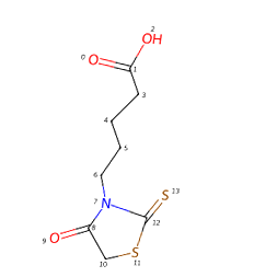 O=C(O)CCCCN1C(=O)CSC1=S